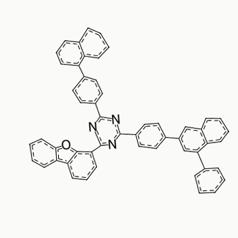 c1ccc(-c2cc(-c3ccc(-c4nc(-c5ccc(-c6cccc7ccccc67)cc5)nc(-c5cccc6c5oc5ccccc56)n4)cc3)cc3ccccc23)cc1